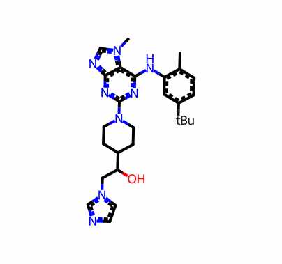 Cc1ccc(C(C)(C)C)cc1Nc1nc(N2CCC(C(O)Cn3ccnc3)CC2)nc2ncn(C)c12